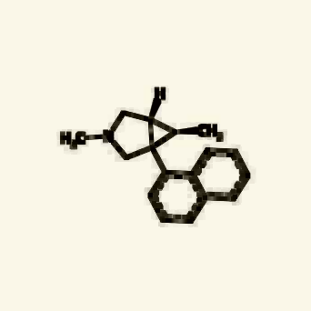 C[C@@H]1[C@H]2CN(C)CC12c1cccc2ccccc12